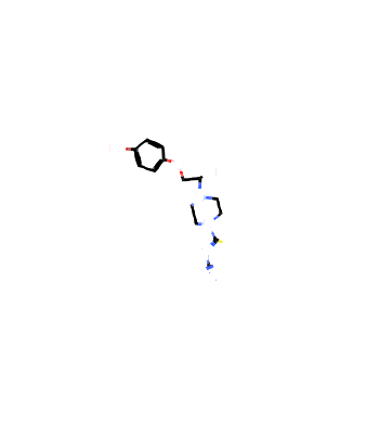 CSC(=NC#N)N1CCN(C(C)COc2ccc(Br)cc2)CC1